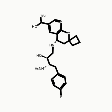 CCCCC(O)c1cnc2c(c1)[C@@H](NC[C@H](O)[C@H](Cc1ccc(F)cc1)NC(C)=O)CC1(CCC1)O2